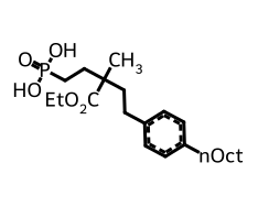 CCCCCCCCc1ccc(CCC(C)(CCP(=O)(O)O)C(=O)OCC)cc1